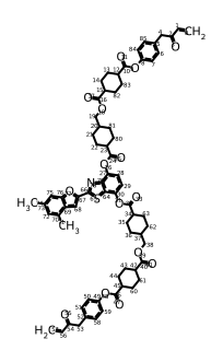 C=CC(=O)Cc1ccc(OC(=O)C2CCC(C(=O)OCC3CCC(C(=O)Oc4ccc(OC(=O)C5CCC(COC(=O)C6CCC(C(=O)Oc7ccc(CC(=O)C=C)cc7)CC6)CC5)c5sc(-c6cc7c(C)cc(C)cc7o6)nc45)CC3)CC2)cc1